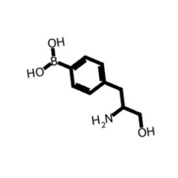 NC(CO)Cc1ccc(B(O)O)cc1